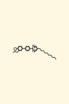 CCCCCCCCCCc1cnc(-c2ccc(-c3ccc4c(c3)CC(C)O4)cc2)nc1